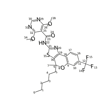 CCCCCCC1(C)Oc2cc(C(F)(F)F)ccc2-c2nc(NC(=O)c3c(OC)ncnc3OC)sc21